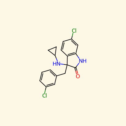 O=C1Nc2cc(Cl)ccc2C1(Cc1cccc(Cl)c1)NC1CC1